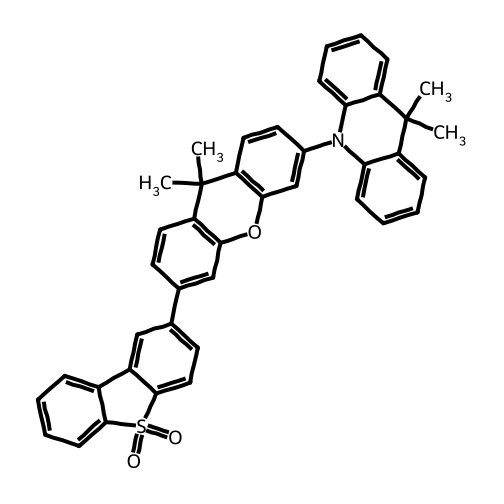 CC1(C)c2ccc(-c3ccc4c(c3)-c3ccccc3S4(=O)=O)cc2Oc2cc(N3c4ccccc4C(C)(C)c4ccccc43)ccc21